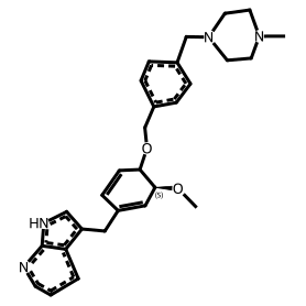 CO[C@H]1C=C(Cc2c[nH]c3ncccc23)C=CC1OCc1ccc(CN2CCN(C)CC2)cc1